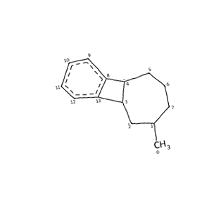 CC1[CH]C2[C](CCC1)c1ccccc12